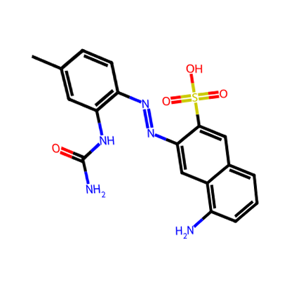 Cc1ccc(N=Nc2cc3c(N)cccc3cc2S(=O)(=O)O)c(NC(N)=O)c1